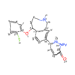 CN1CCC(Oc2ccccc2F)c2ccc(-c3ccc(=O)[nH]n3)cc2C1